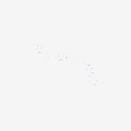 CC1(C)[C@H](NC(=O)c2ccc(N3CCN(CCCCOc4ccc(C(=O)NC5CCC(=O)NC5=O)nc4)CC3)nc2)C(C)(C)[C@H]1Oc1ccc(C#N)c(Cl)c1